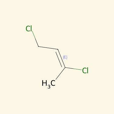 C/C(Cl)=C\CCl